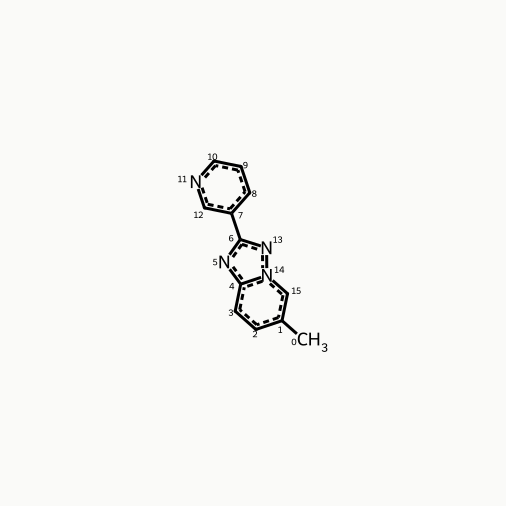 Cc1ccc2nc(-c3cccnc3)nn2c1